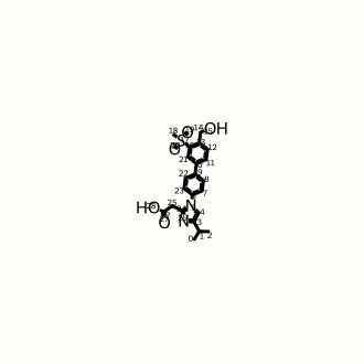 CC(C)c1cn(-c2ccc(-c3ccc(CO)c(S(C)(=O)=O)c3)cc2)c(CC(=O)O)n1